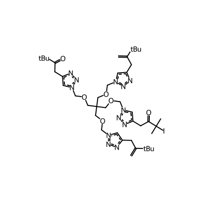 C=C(Cc1cn(COCC(COCn2cc(CC(=C)C(C)(C)C)nn2)(COCn2cc(CC(=O)C(C)(C)C)nn2)COCn2cc(CC(=O)C(C)(C)I)nn2)nn1)C(C)(C)C